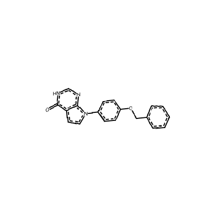 O=c1[nH]cnc2c1ccn2-c1ccc(OCc2ccccc2)cc1